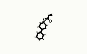 C=CC(=O)OC1CCC(C2CCCCC2)CC1